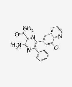 NC(=O)c1nc(-c2cc(Cl)c3ncccc3c2)c(-c2ccccc2)nc1N